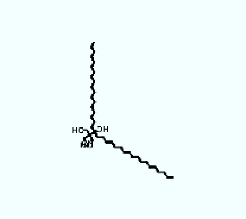 CCCCCCCCCCCCCCCCCCC(O)(CCCCCCCCCCCCCCCCCC)C(CO)(CO)CO